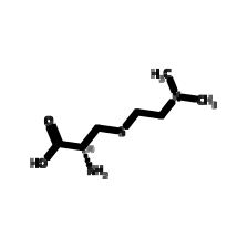 CN(C)CCSC[C@H](N)C(=O)O